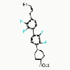 CC/C=C\Cc1ccc(-c2ccc(C3CCC(CCCCCCCC)CC3)c(F)c2F)c(F)c1F